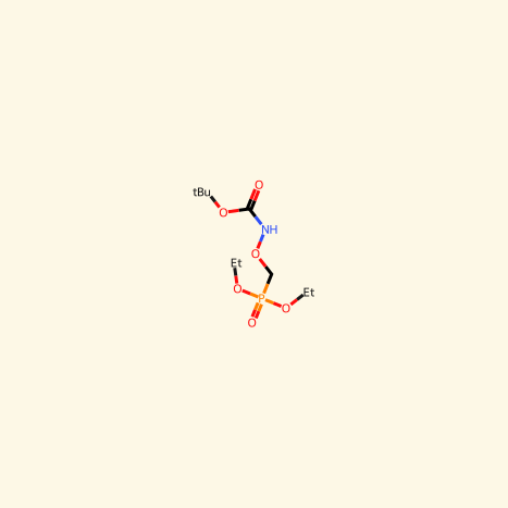 CCOP(=O)(CONC(=O)OC(C)(C)C)OCC